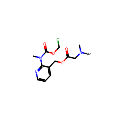 CC(=O)N(C)CC(=O)OCc1cccnc1N(C)C(=O)OCCl